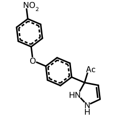 CC(=O)C1(c2ccc(Oc3ccc([N+](=O)[O-])cc3)cc2)C=CNN1